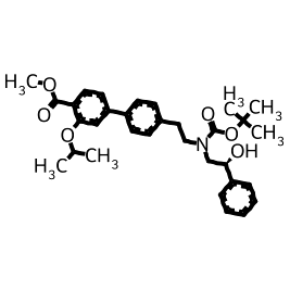 COC(=O)c1ccc(-c2ccc(CCN(C[C@@H](O)c3ccccc3)C(=O)OC(C)(C)C)cc2)cc1OC(C)C